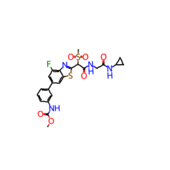 COC(=O)Nc1cccc(-c2cc(F)c3nc(C(C(=O)NCC(=O)NC4CC4)S(C)(=O)=O)sc3c2)c1